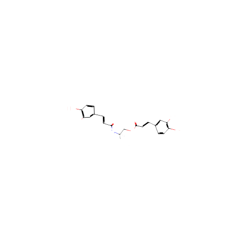 O=C(C=Cc1ccc(O)c(O)c1)N[C@@H](COC(=O)C=Cc1ccc(O)c(O)c1)C(=O)O